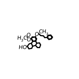 CC(=O)Oc1cc(OC(C)CCCc2ccccc2)cc2c1C1CC(O)CCC1C1CCCCC21